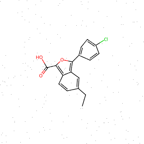 CCc1ccc2c(C(=O)O)oc(-c3ccc(Cl)cc3)c2c1